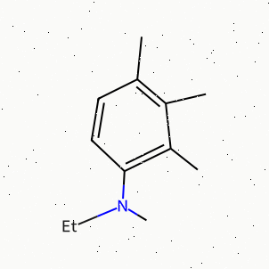 CCN(C)c1ccc(C)c(C)c1C